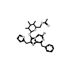 CC(=O)OCC1OC(Oc2c(Cc3ccco3)nc3c(Cc4ccccc4)nc(Br)cn23)C(C)C(C)C1C